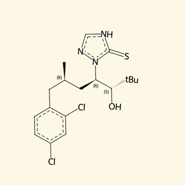 C[C@H](Cc1ccc(Cl)cc1Cl)C[C@H]([C@@H](O)C(C)(C)C)n1nc[nH]c1=S